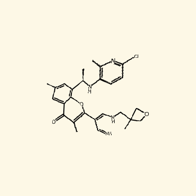 Cc1cc([C@@H](C)Nc2ccc(Cl)nc2C)c2oc(/C(C=N)=C/NCC3(C)COC3)c(C)c(=O)c2c1